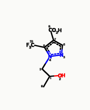 CC(O)Cn1ncc(C(=O)O)c1C(F)(F)F